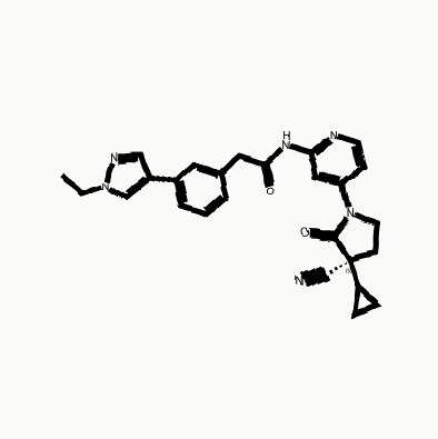 CCn1cc(-c2cccc(CC(=O)Nc3cc(N4CC[C@@](C#N)(C5CC5)C4=O)ccn3)c2)cn1